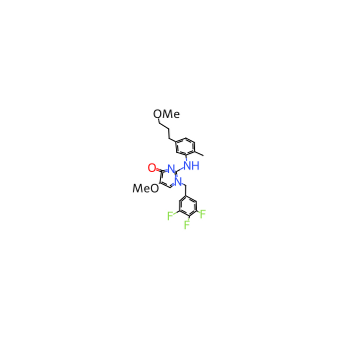 COCCCc1ccc(C)c(Nc2nc(=O)c(OC)cn2Cc2cc(F)c(F)c(F)c2)c1